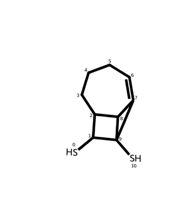 SC1C2CCCC=C3C2C31S